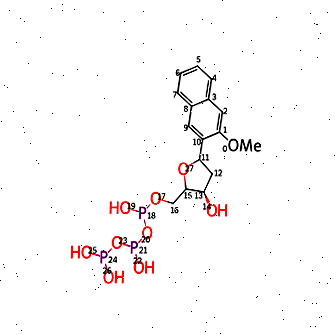 COc1cc2ccccc2cc1C1C[C@@H](O)C(COP(O)OP(O)OP(O)O)O1